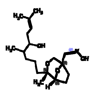 CC(C)=CCC(O)C(C)CCC[C@]1(C)OC[C@]2(/C=N\O)CC[C@H]1O2